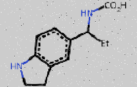 CCC(NC(=O)O)c1ccc2c(c1)CCN2